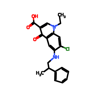 CCn1cc(C(=O)O)c(=O)c2cc(NCC(C)c3ccccc3)c(Cl)cc21